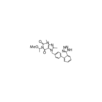 COC(C)n1c(=O)c2c(nc(C)n2Cc2ccc(-c3ccccc3-c3nnn[nH]3)cc2)n(C)c1=O